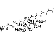 CCCCCCCCCCCCCCCCCCNC.OC[C@@H](O)[C@@H](O)[C@H](O)[C@@H](O)CO